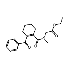 CCOC(=O)CN(C)C(=O)C1=C(C(=O)c2ccccc2)CCCC1